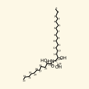 CCCCCCCCCCCCCCC[C@@H](O)[C@H](CO)NC(=O)[C@H](O)CCCCCCCCC